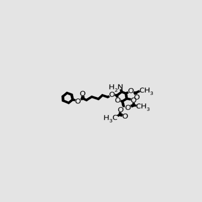 CC(=O)OCC1OC(OCCCCCC(=O)OC2CCCCC2)C(N)C(OC(C)=O)C1OC(C)=O